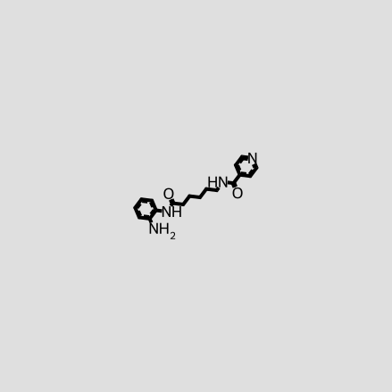 Nc1ccccc1NC(=O)CCCCCNC(=O)c1ccncc1